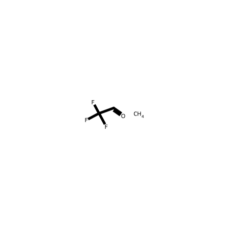 C.O=CC(F)(F)F